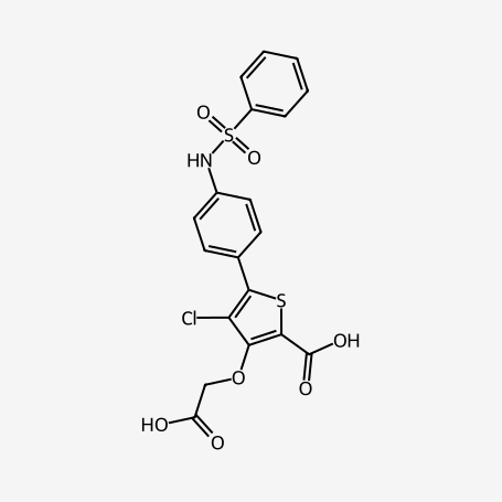 O=C(O)COc1c(C(=O)O)sc(-c2ccc(NS(=O)(=O)c3ccccc3)cc2)c1Cl